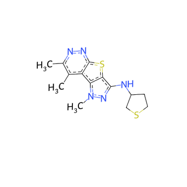 Cc1nnc2sc3c(NC4CCSC4)nn(C)c3c2c1C